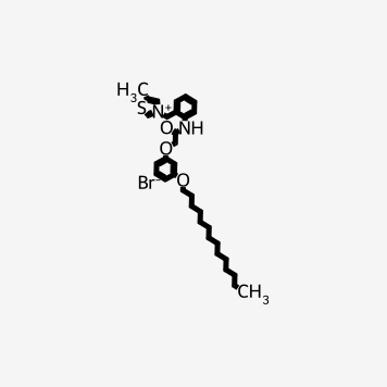 CCCCCCCCCCCCCCOc1cccc(OCC(=O)Nc2ccccc2C[n+]2csc(C)c2)c1.[Br-]